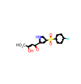 O=C(O)/C(O)=C/C(=O)c1cc(S(=O)(=O)c2ccc(F)cc2)c[nH]1